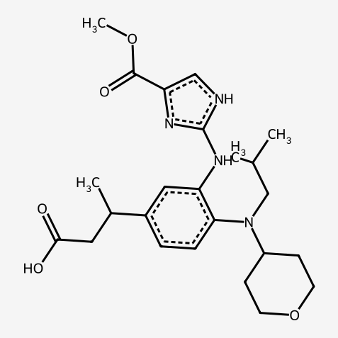 COC(=O)c1c[nH]c(Nc2cc(C(C)CC(=O)O)ccc2N(CC(C)C)C2CCOCC2)n1